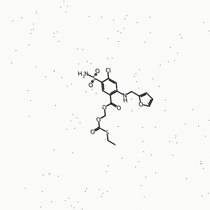 CCSC(=O)OCOC(=O)c1cc(S(N)(=O)=O)c(Cl)cc1NCc1ccco1